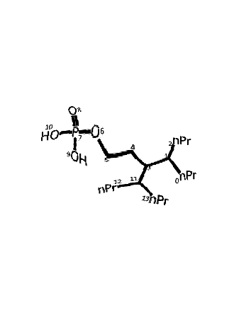 CCCC(CCC)C(CCOP(=O)(O)O)C(CCC)CCC